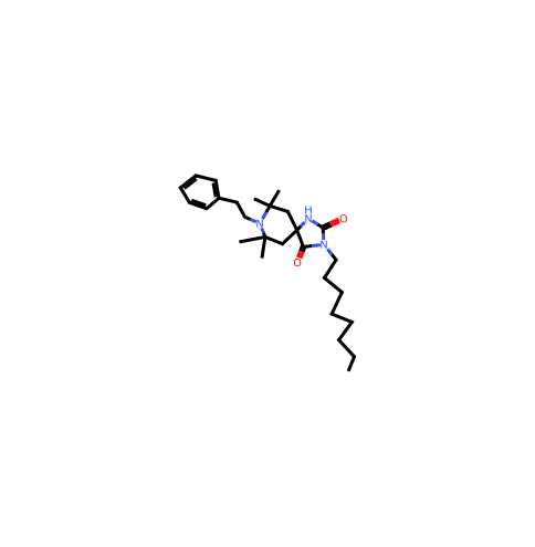 CCCCCCCCN1C(=O)NC2(CC(C)(C)N(CCc3ccccc3)C(C)(C)C2)C1=O